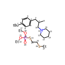 CC(Cc1ccc(C(C)(C)C)cc1)CN1CCCCC1.CCOP(=O)(OCC)SCCSCC